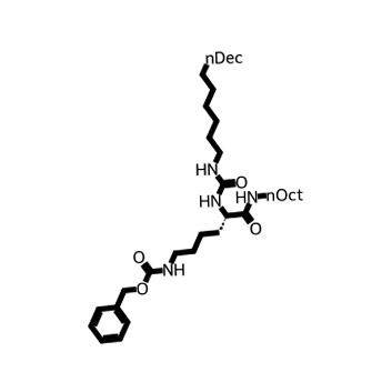 CCCCCCCCCCCCCCCCNC(=O)N[C@@H](CCCCNC(=O)OCc1ccccc1)C(=O)NCCCCCCCC